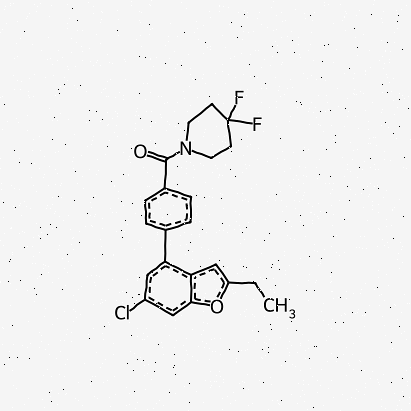 CCc1cc2c(-c3ccc(C(=O)N4CCC(F)(F)CC4)cc3)cc(Cl)cc2o1